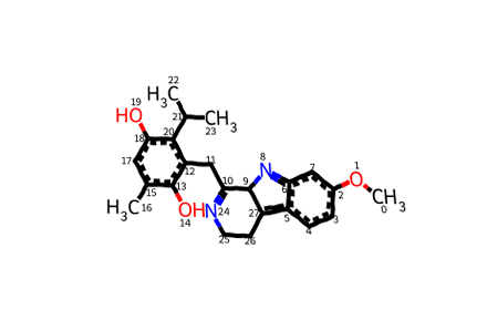 COc1ccc2c(c1)=NC1C(Cc3c(O)c(C)cc(O)c3C(C)C)=NCCC=21